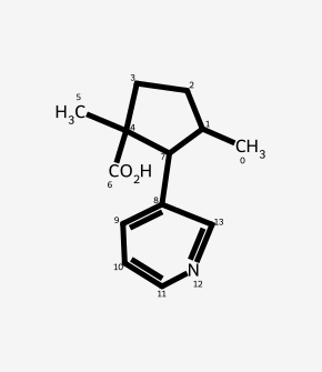 CC1CCC(C)(C(=O)O)C1c1cccnc1